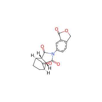 O=C1OCc2ccc(N3C(=O)[C@H]4[C@@H]5CC[C@@H](C(=O)C5)[C@H]4C3=O)cc21